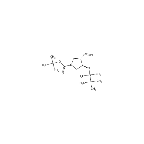 CC(C)(C)OC(=O)N1C[C@H](O[Si](C)(C)C(C)(C)C)[C@@H](C=O)C1